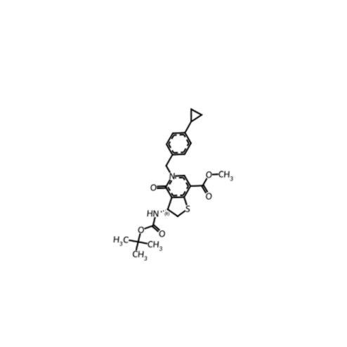 COC(=O)c1cn(Cc2ccc(C3CC3)cc2)c(=O)c2c1SC[C@@H]2NC(=O)OC(C)(C)C